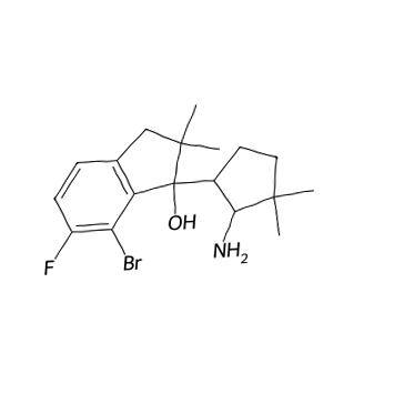 CC1(C)CCC(C2(O)c3c(ccc(F)c3Br)CC2(C)C)C1N